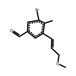 COC/C=C/c1cc(C=O)cc(Br)c1C